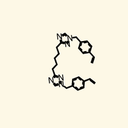 C=Cc1ccc(Cn2cnc(CCCCCc3ncn(Cc4ccc(C=C)cc4)n3)n2)cc1